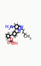 CCCCc1nc2ccc(N)cc2n1Cc1ccc(-c2ccccc2OC(=O)O)cc1